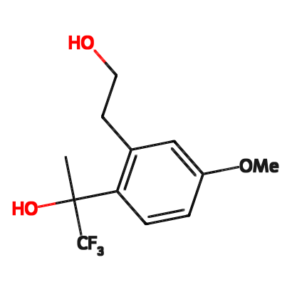 COc1ccc(C(C)(O)C(F)(F)F)c(CCO)c1